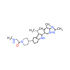 CNCC(=O)N1CCC(c2ccc3[nH]c(-c4cc(C)c5nc(C)nn5c4)c(C(C)C)c3c2)CC1